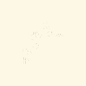 COc1ccc(C(OC(=O)C(F)(F)F)C(=O)Nc2cccc(-c3cc(-c4cc5c([nH]4)CCNC5=O)ccn3)c2)cc1